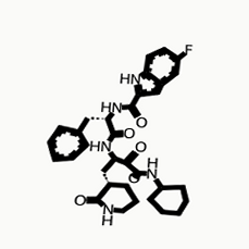 O=C(NC1CCCCC1)C(=O)C(C[C@@H]1CCCNC1=O)NC(=O)[C@H](Cc1ccccc1)NC(=O)c1cc2cc(F)ccc2[nH]1